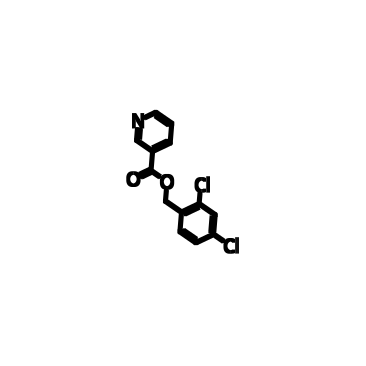 O=C(OCc1ccc(Cl)cc1Cl)c1cccnc1